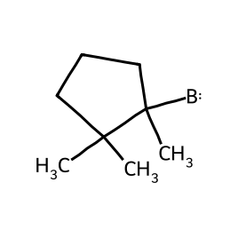 [B]C1(C)CCCC1(C)C